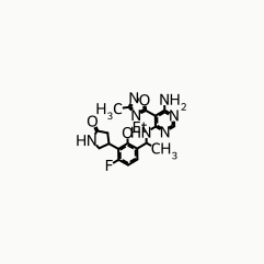 CCOc1c(C(C)Nc2ncnc(N)c2-c2nc(C)no2)ccc(F)c1C1CNC(=O)C1